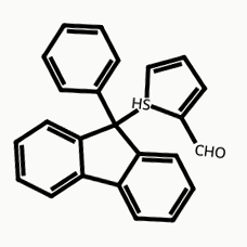 O=CC1=CC=C[SH]1C1(c2ccccc2)c2ccccc2-c2ccccc21